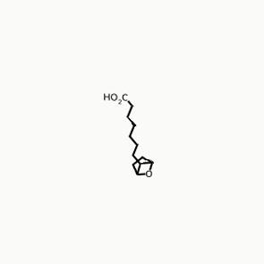 O=C(O)CCCCCCC1C2CCC1O2